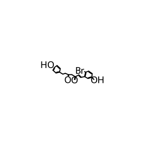 O=C(/C=C/c1cc(O)ccc1Br)CC(=O)CCc1ccc(O)cc1